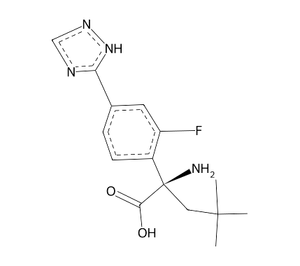 CC(C)(C)C[C@](N)(C(=O)O)c1ccc(-c2ncn[nH]2)cc1F